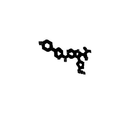 COC1CCC(c2c(C(=O)N(C)C)sc3cnc(Nc4ccc(N5CCNCC5)cn4)cc23)C1